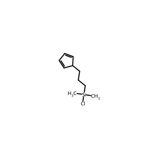 C[Si](C)(Cl)CCCC1C=CC=C1